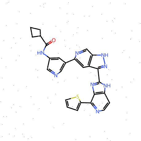 O=C(Nc1cncc(-c2cc3c(-c4nc5c(-c6cccs6)nccc5[nH]4)n[nH]c3cn2)c1)C1CCC1